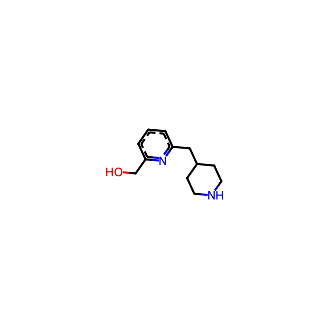 OCc1cccc(CC2CCNCC2)n1